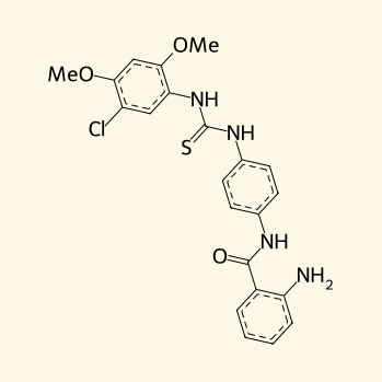 COc1cc(OC)c(NC(=S)Nc2ccc(NC(=O)c3ccccc3N)cc2)cc1Cl